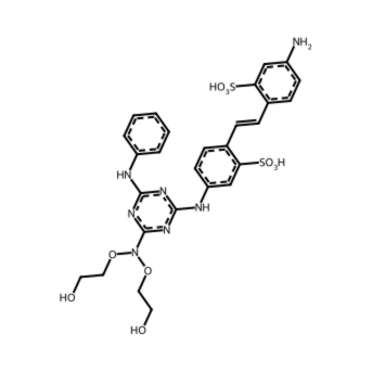 Nc1ccc(C=Cc2ccc(Nc3nc(Nc4ccccc4)nc(N(OCCO)OCCO)n3)cc2S(=O)(=O)O)c(S(=O)(=O)O)c1